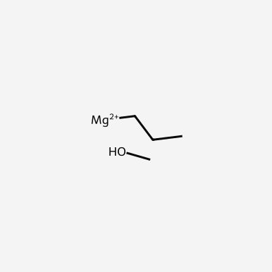 CC[CH2][Mg+2].CO